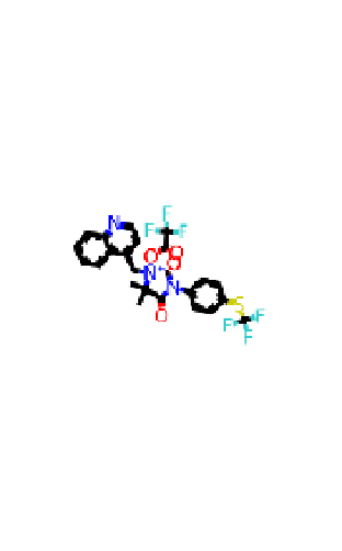 CC1(C)C(=O)N(c2ccc(SC(F)(F)F)cc2)C(=O)[N+]1(Cc1ccnc2ccccc12)OC(=O)C(F)(F)F